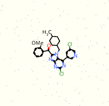 COc1ccccc1C(=O)c1nc2nc(Cl)nc(-c3cncc(Cl)c3)c2n1CC1CCC(C)CC1